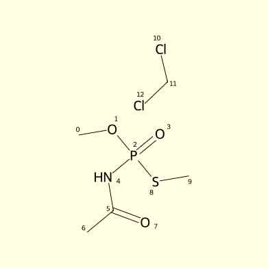 COP(=O)(NC(C)=O)SC.ClCCl